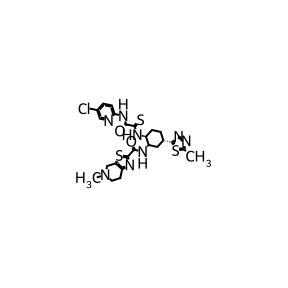 Cc1nnc([C@H]2CC[C@H](NC(=S)C(=O)Nc3ccc(Cl)cn3)[C@H](NC(=O)c3nc4c(s3)CN(C)CC4)C2)s1